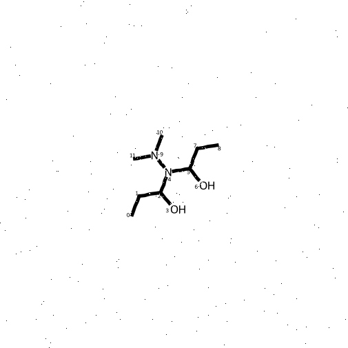 CCC(O)N(C(O)CC)N(C)C